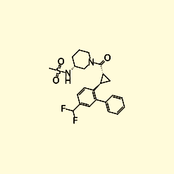 CS(=O)(=O)N[C@@H]1CCCN(C(=O)[C@@H]2C[C@H]2c2ccc(C(F)F)cc2-c2ccccc2)C1